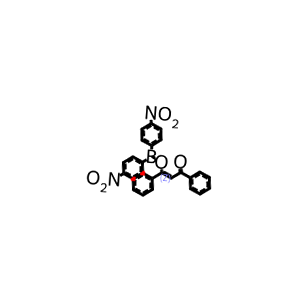 O=C(/C=C(\OB(c1ccc([N+](=O)[O-])cc1)c1ccc([N+](=O)[O-])cc1)c1ccccc1)c1ccccc1